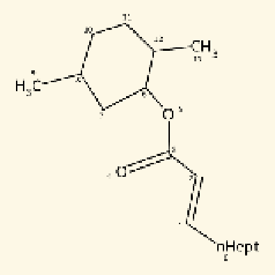 CCCCCCCC=CC(=O)OC1CC(C)CCC1C